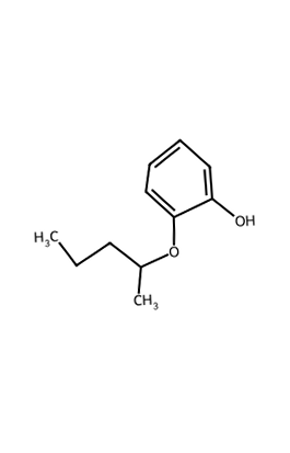 CCCC(C)Oc1ccccc1O